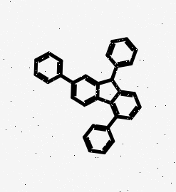 c1ccc(-c2ccc3c(c2)C(c2ccccc2)c2cccc(-c4ccccc4)c2-3)cc1